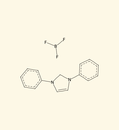 C1=CN(c2ccccc2)CN1c1ccccc1.FB(F)F